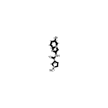 N#CN1CC[C@H](C(=O)Nc2cn3cc(Br)ccc3n2)C1